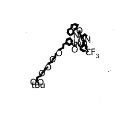 CC(C)(C)OC(=O)CCOCCOCCOCCOCCCc1cccc(C(=O)Nc2ccc(C(F)(F)F)cc2-c2nccc(C(=O)N[C@H]3CCCc4ccccc43)n2)c1